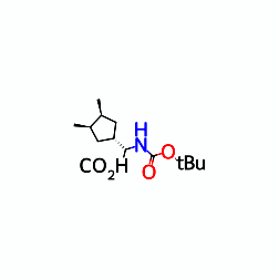 C[C@@H]1C[C@@H](C(NC(=O)OC(C)(C)C)C(=O)O)C[C@@H]1C